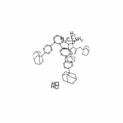 Cl.Cl.[CH3][Zr]([CH3])(=[SiH2])([CH]1C(CC23CCC(CC2)C3)=Cc2c(-c3ccc(C45CC6CC(CC(C6)C4)C5)cc3)cccc21)[CH]1C(CC23CCC(CC2)C3)=Cc2c(-c3ccc(C45CC6CC(CC(C6)C4)C5)cc3)cccc21